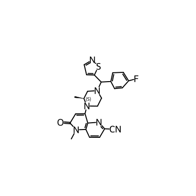 C[C@H]1CN(C(c2ccc(F)cc2)c2ccns2)CCN1c1cc(=O)n(C)c2ccc(C#N)nc12